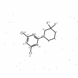 FC1(F)CCCN(c2nc(Cl)nc(Cl)n2)C1